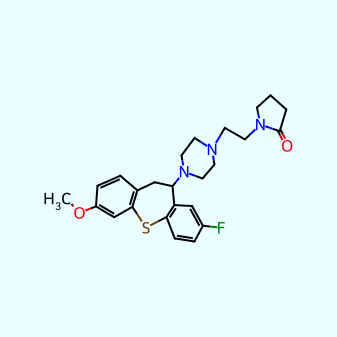 COc1ccc2c(c1)Sc1ccc(F)cc1C(N1CCN(CCN3CCCC3=O)CC1)C2